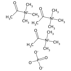 CC(=O)[N+](C)(C)C.CC(=O)[N+](C)(C)C.CC(=O)[N+](C)(C)C.O=P([O-])([O-])[O-]